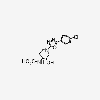 O=C(O)NC1CCN(c2nnc(-c3ccc(Cl)cc3)o2)CC1O